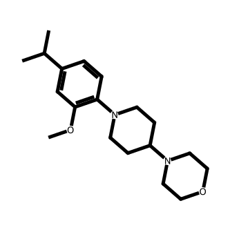 COc1cc(C(C)C)ccc1N1CCC(N2CCOCC2)CC1